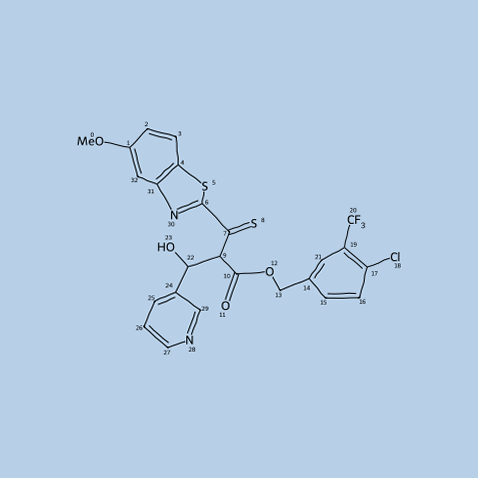 COc1ccc2sc(C(=S)C(C(=O)OCc3ccc(Cl)c(C(F)(F)F)c3)C(O)c3cccnc3)nc2c1